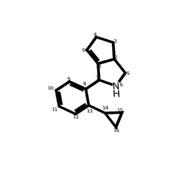 C1=C2C(CC1)CNC2c1ccccc1C1CC1